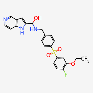 O=S(=O)(c1ccc(CNC(O)c2cc3cnccc3[nH]2)cc1)c1ccc(F)c(OCC(F)(F)F)c1